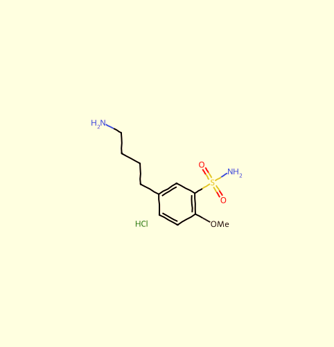 COc1ccc(CCCCN)cc1S(N)(=O)=O.Cl